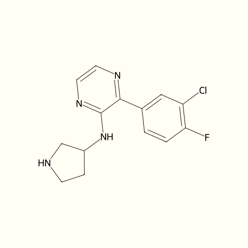 Fc1ccc(-c2nccnc2NC2CCNC2)cc1Cl